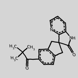 CC(C)(C)C(=O)c1ccc2c(c1)CC1(C2)C(=O)Nc2cccnc21